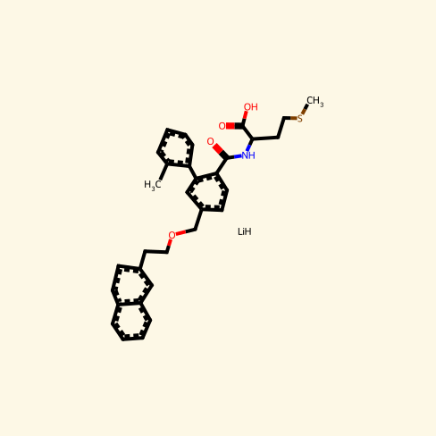 CSCCC(NC(=O)c1ccc(COCCc2ccc3ccccc3c2)cc1-c1ccccc1C)C(=O)O.[LiH]